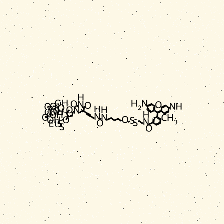 CCS(=S)COC1C[C@H](n2cc(C#CCNC(=O)NCCCCCOCSSCCNC(=O)c3ccc(C)c(-c4c5ccc(=N)cc-5oc5cc(N)ccc45)c3)c(=O)[nH]c2=O)O[C@@H]1COP(=O)(O)OP(=O)(O)OP(=O)(O)O